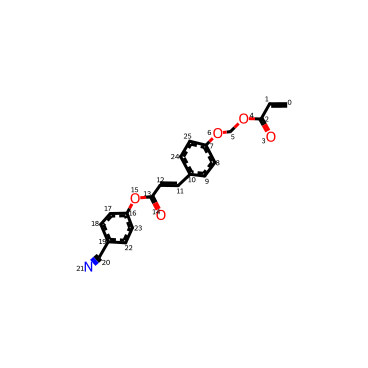 C=CC(=O)OCOc1ccc(C=CC(=O)Oc2ccc(C#N)cc2)cc1